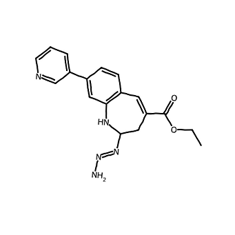 CCOC(=O)C1=Cc2ccc(-c3cccnc3)cc2NC(N=NN)C1